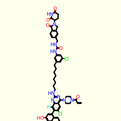 C=CC(=O)N1CCN(c2nc(NCCCCCCCCc3cc(Cl)cc(NC(=O)NCc4ccc5c(c4)CN(C4CCC(=O)NC4=O)C5=O)c3)nc3c(F)c(-c4cc(O)cc5ccccc45)c(Cl)cc23)CC1